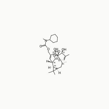 CC1=C[C@]23C(O)[C@@H](C=C(COC(=O)N(C)C4CCCCC4)[C@@H](O)[C@]2(O)[C@H]1O)[C@H]1[C@@H](C[C@H]3C)C1(C)C